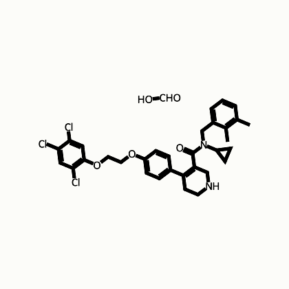 Cc1cccc(CN(C(=O)C2=C(c3ccc(OCCOc4cc(Cl)c(Cl)cc4Cl)cc3)CCNC2)C2CC2)c1C.O=CO